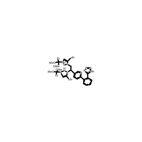 CCCC1=CN(C(CC)(OC)OC)NN1CC(c1ccc(-c2ccccc2-c2nnn[nH]2)nc1)N1NN(C(CC)(OC)OC)C=C1CCC